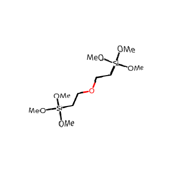 CO[Si](CCOCC[Si](OC)(OC)OC)(OC)OC